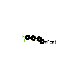 CCCCCc1ccc2c(F)c(-c3ccc(-c4ccc(F)c(F)c4)cc3)ccc2c1